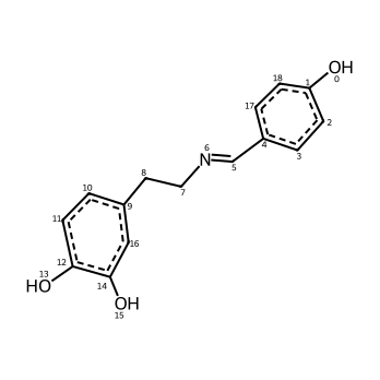 Oc1ccc(C=NCCc2ccc(O)c(O)c2)cc1